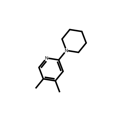 Cc1cnc(N2CCCCC2)cc1C